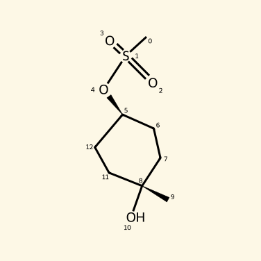 CS(=O)(=O)O[C@H]1CC[C@](C)(O)CC1